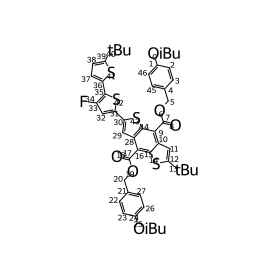 CC(C)COc1ccc(COC(=O)c2c3cc(C(C)(C)C)sc3c(C(=O)OCc3ccc(OCC(C)C)cc3)c3cc(-c4cc(F)c(-c5ccc(C(C)(C)C)s5)s4)sc23)cc1